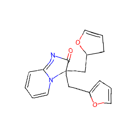 O=C1N=C2C=CC=CN2C1(Cc1ccco1)CC1CC=CO1